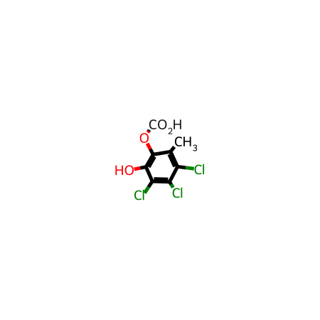 Cc1c(Cl)c(Cl)c(Cl)c(O)c1OC(=O)O